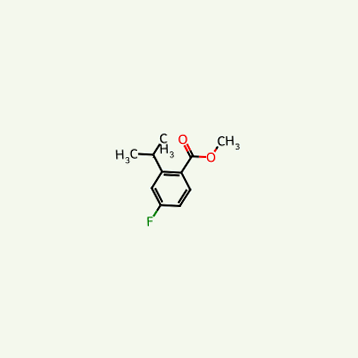 COC(=O)c1ccc(F)cc1[C](C)C